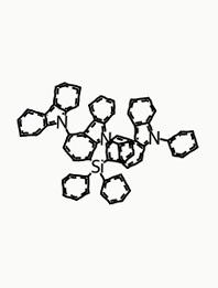 c1ccc(-n2c3ccccc3c3c(-n4c5ccccc5c5c(-n6c7ccccc7c7ccccc76)ccc([Si](c6ccccc6)(c6ccccc6)c6ccccc6)c54)cccc32)cc1